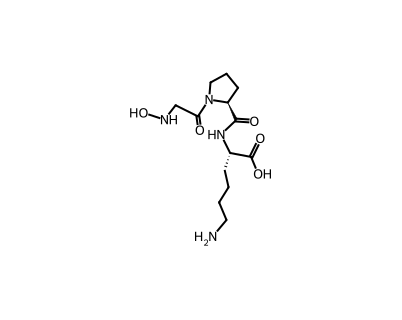 NCCCC[C@H](NC(=O)[C@@H]1CCCN1C(=O)CNO)C(=O)O